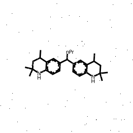 CCCC(c1ccc2c(c1)C(C)CC(C)(C)N2)c1ccc2c(c1)C(C)CC(C)(C)N2